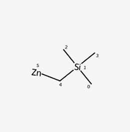 C[Si](C)(C)[CH2][Zn]